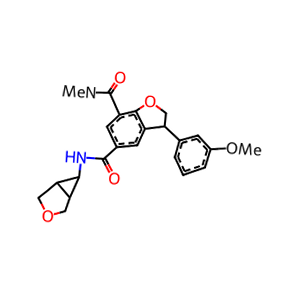 CNC(=O)c1cc(C(=O)NC2C3COCC32)cc2c1OCC2c1cccc(OC)c1